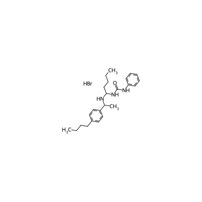 Br.CCCCc1ccc(C(C)NC(CCCC)NC(=O)Nc2ccccc2)cc1